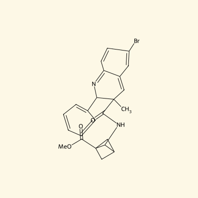 COC(=O)C12CC(C1)C2NC(=O)C1(C)C=c2cc(Br)ccc2=NC1c1ccccc1